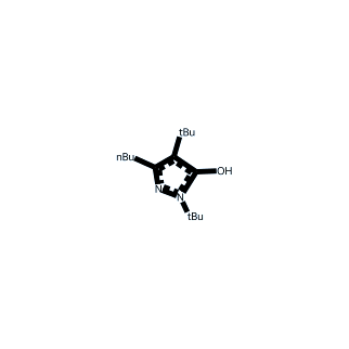 CCCCc1nn(C(C)(C)C)c(O)c1C(C)(C)C